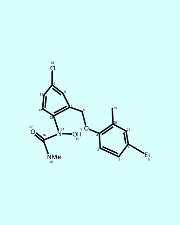 CCc1ccc(OCc2cc(Cl)ccc2N(O)C(=O)NC)c(C)c1